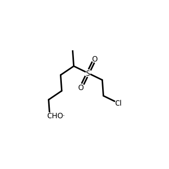 CC(CCC[C]=O)S(=O)(=O)CCCl